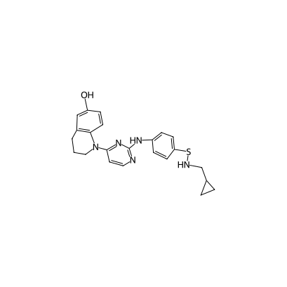 Oc1ccc2c(c1)CCCN2c1ccnc(Nc2ccc(SNCC3CC3)cc2)n1